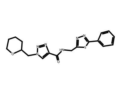 O=C(NCc1nnc(-c2ccccc2)s1)c1cn(CC2CCCCO2)nn1